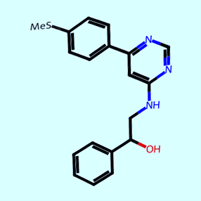 CSc1ccc(-c2cc(NCC(O)c3ccccc3)ncn2)cc1